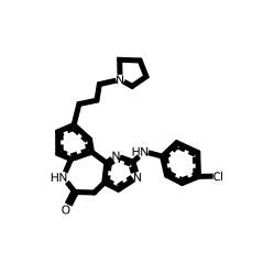 O=C1Cc2cnc(Nc3ccc(Cl)cc3)nc2-c2cc(CCCN3CCCC3)ccc2N1